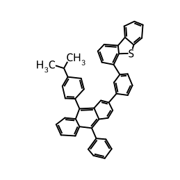 CC(C)c1ccc(-c2c3ccccc3c(-c3ccccc3)c3ccc(-c4cccc(-c5cccc6c5sc5ccccc56)c4)cc23)cc1